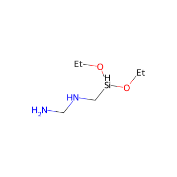 CCO[SiH](CNCN)OCC